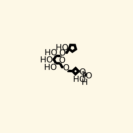 O=[PH](O)OC1CC(COCC2OC(OCC3(O)CCCC3)C(O)C(O)C2O)C1